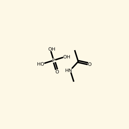 CNC(C)=O.O=P(O)(O)O